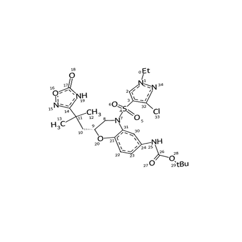 CCn1cc(S(=O)(=O)N2C[C@@H](CC(C)(C)c3noc(=O)[nH]3)Oc3ccc(NC(=O)OC(C)(C)C)cc32)c(Cl)n1